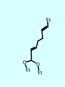 CC/C=C/CC/C=C/C(OCC)OCC